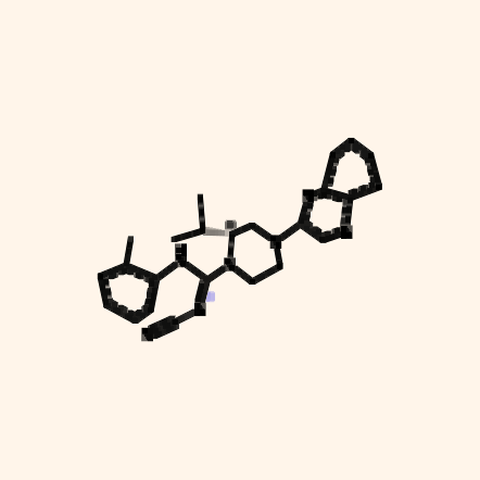 Cc1ccccc1N/C(=N\C#N)N1CCN(c2cnc3ccccc3n2)C[C@H]1C(C)C